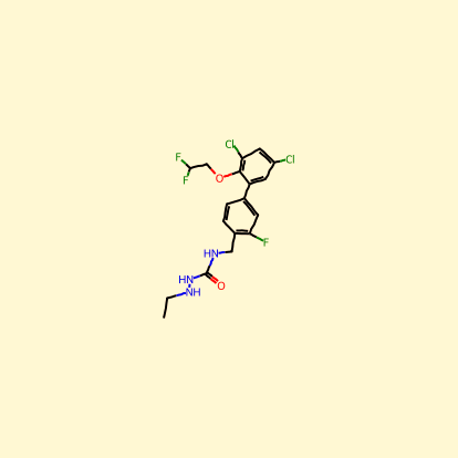 CCNNC(=O)NCc1ccc(-c2cc(Cl)cc(Cl)c2OCC(F)F)cc1F